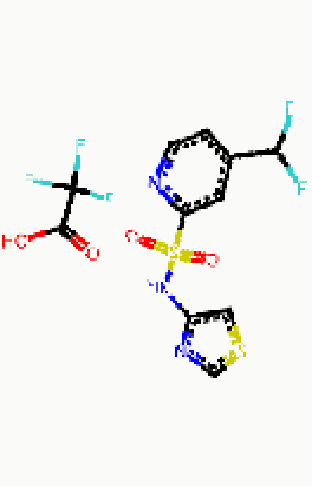 O=C(O)C(F)(F)F.O=S(=O)(Nc1cscn1)c1cc(C(F)F)ccn1